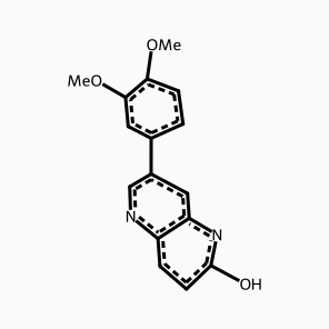 COc1ccc(-c2cnc3ccc(O)nc3c2)cc1OC